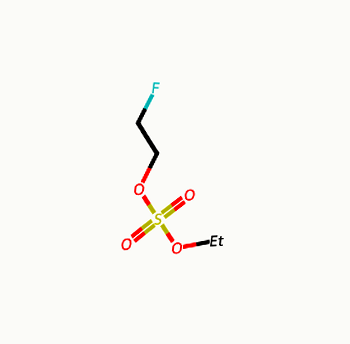 CCOS(=O)(=O)OCCF